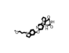 COCCCN1CCc2cc(Oc3ccc(N4CCCC45C(=O)NC(=O)NC5=O)cn3)ccc21